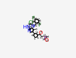 Cc1c(-c2cccc(C(=O)CCP(C)(C)=O)c2)cnc2c1N(Cc1c(F)ccc(F)c1Cl)CCN2